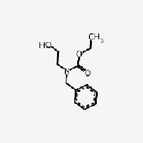 CCOC(=O)N(CCO)Cc1ccccc1